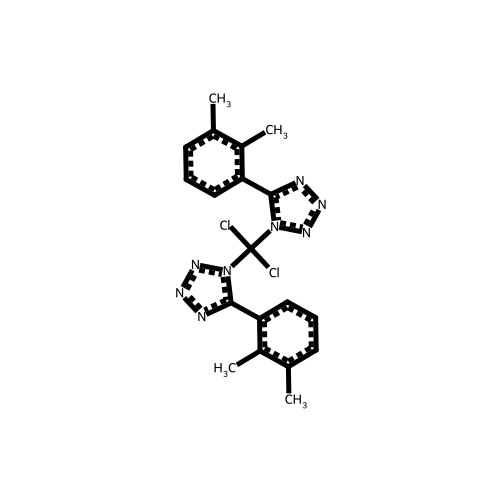 Cc1cccc(-c2nnnn2C(Cl)(Cl)n2nnnc2-c2cccc(C)c2C)c1C